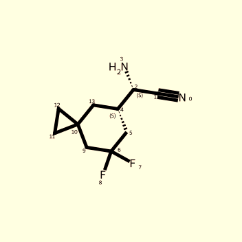 N#C[C@@H](N)[C@@H]1CC(F)(F)CC2(CC2)C1